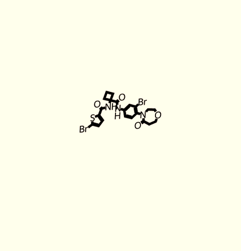 O=C(NC1(C(=O)Nc2ccc(N3CCOCCC3=O)c(Br)c2)CCC1)c1ccc(Br)s1